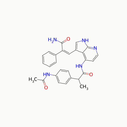 CC(=O)Nc1ccc(C(C)C(=O)Nc2ccnc3[nH]cc(C=C(C(N)=O)c4ccccc4)c23)cc1